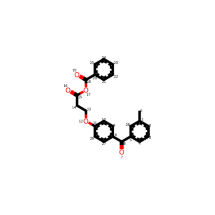 Cc1cccc(C(=O)c2ccc(OCCC(=O)OC(=O)c3ccccc3)cc2)c1